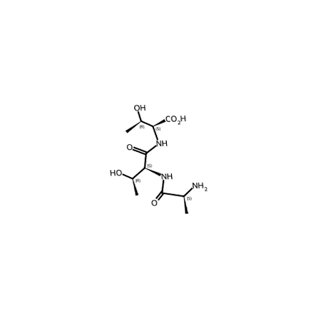 C[C@H](N)C(=O)N[C@H](C(=O)N[C@H](C(=O)O)[C@@H](C)O)[C@@H](C)O